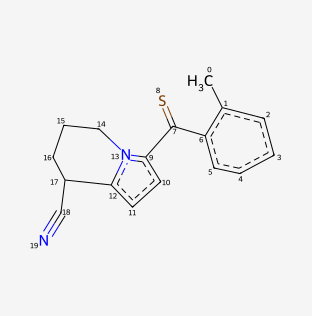 Cc1ccccc1C(=S)c1ccc2n1CCCC2C#N